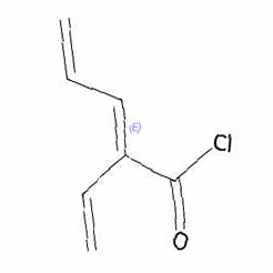 C=C/C=C(\C=C)C(=O)Cl